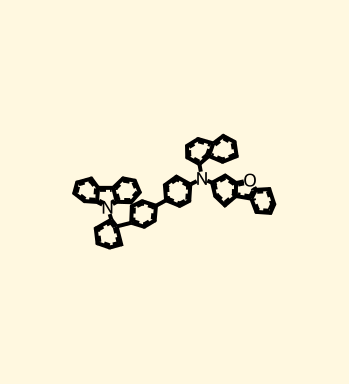 c1ccc(-n2c3ccccc3c3ccccc32)c(-c2ccc(-c3ccc(N(c4ccc5c(c4)oc4ccccc45)c4cccc5ccccc45)cc3)cc2)c1